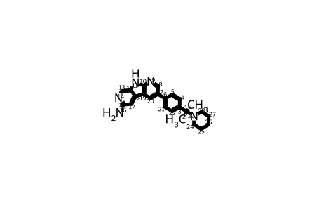 CC(C)(c1ccc(-c2cnc3[nH]c4cnc(N)cc4c3c2)cc1)N1CCCCC1